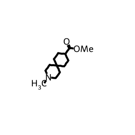 COC(=O)C1CCC2(CC1)CCN(C)CC2